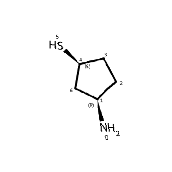 N[C@@H]1CC[C@H](S)C1